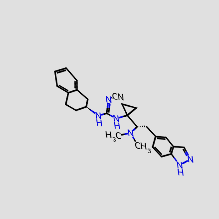 CN(C)[C@@H](Cc1ccc2[nH]ncc2c1)C1(NC(=NC#N)N[C@H]2CCc3ccccc3C2)CC1